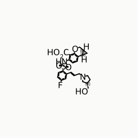 O=C(O)c1c(NS(=O)(=O)c2ccc(F)cc2C=CCN2CC[C@@H](CO)C2)ccc2c1OC[C@@H]1C[C@H]21